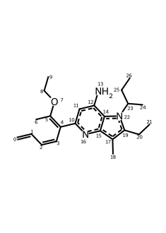 C=C/C=C\C(=C(/C)OCC)c1cc(N)c2c(n1)c(C)c(CC)n2C(C)CC